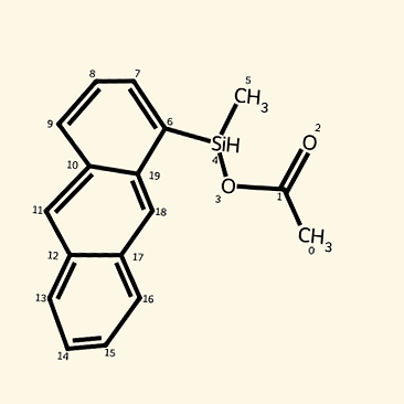 CC(=O)O[SiH](C)c1cccc2cc3ccccc3cc12